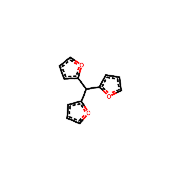 c1coc(C(c2ccco2)c2ccco2)c1